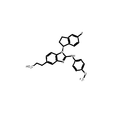 O=C(O)CCc1ccc2c(c1)nc(Nc1ccc(OC(F)(F)F)cc1)n2[C@H]1CCc2cc(F)ccc21